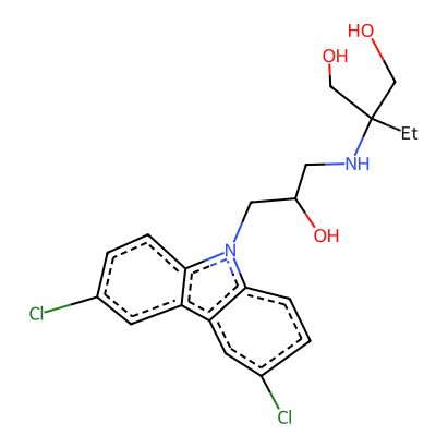 CCC(CO)(CO)NCC(O)Cn1c2ccc(Cl)cc2c2cc(Cl)ccc21